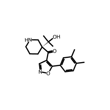 Cc1ccc(-c2oncc2C(=O)[C@@]2(C(C)(C)O)CCCNC2)cc1C